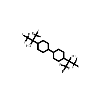 OC(C1CCC(C2CCC(C(O)(C(F)(F)F)C(F)(F)F)CC2)CC1)(C(F)(F)F)C(F)(F)F